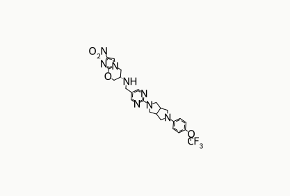 O=[N+]([O-])c1cn2c(n1)OC[C@@H](NCc1cnc(N3CC4CN(c5ccc(OC(F)(F)F)cc5)CC4C3)nc1)C2